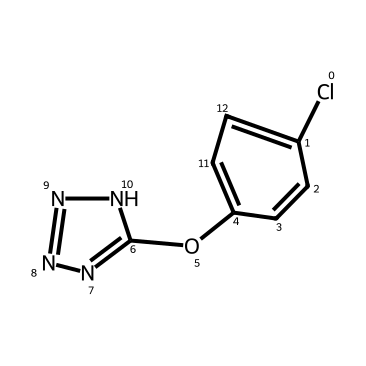 Clc1ccc(Oc2nnn[nH]2)cc1